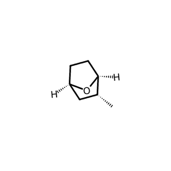 C[C@@H]1C[C@H]2CC[C@@H]1O2